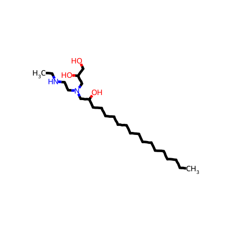 CCCCCCCCCCCCCCCCC(O)CN(CCNCC)CC(O)CO